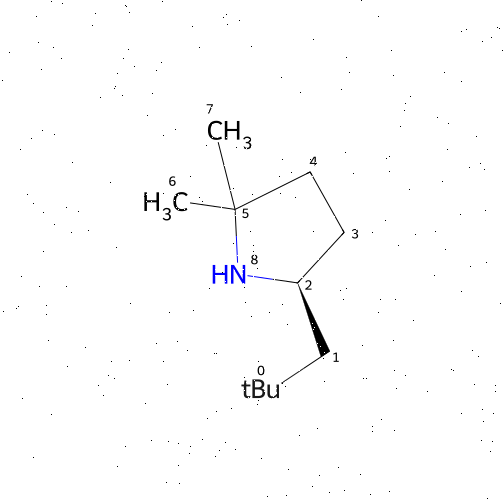 CC(C)(C)C[C@@H]1CCC(C)(C)N1